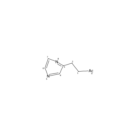 CC(=O)CCc1cnccn1